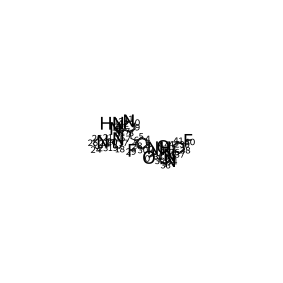 O=C(Nc1ccc(Cc2ccnc3[nH]nc(N4CCC[C@@H]4CN4CCCC4)c23)c(F)c1)c1ccnn(-c2ccc(F)cc2)c1=O